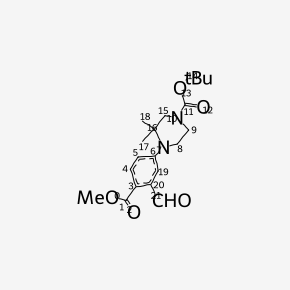 COC(=O)c1ccc(N2CCN(C(=O)OC(C)(C)C)CC2(C)C)cc1C=O